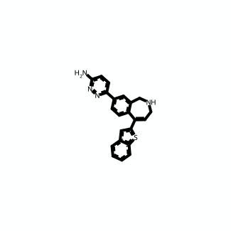 Nc1ccc(-c2ccc3c(c2)CNCC=C3c2cc3ccccc3s2)nn1